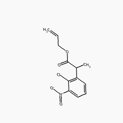 C=CCOC(=O)C(C)c1cccc([N+](=O)[O-])c1Cl